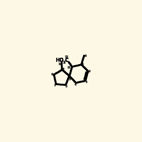 CC1C=CCC2(CCCC2C)C1C(=O)O